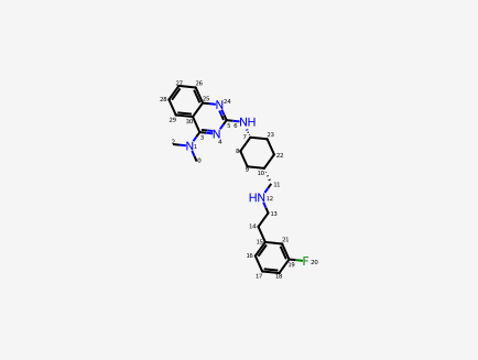 CN(C)c1nc(N[C@H]2CC[C@@H](CNCCc3cccc(F)c3)CC2)nc2ccccc12